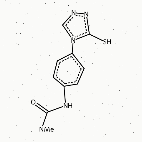 CNC(=O)Nc1ccc(-n2cnnc2S)cc1